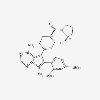 C#Cc1cc(OC)c(-c2c(C3=CC[C@H](C(=O)N4CCC[C@H]4C)CC3)c3c(N)ncnc3n2C)cn1